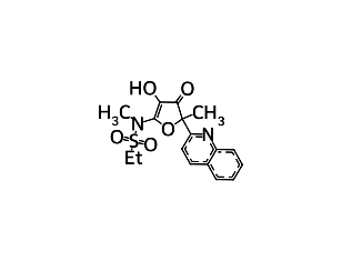 CCS(=O)(=O)N(C)C1=C(O)C(=O)C(C)(c2ccc3ccccc3n2)O1